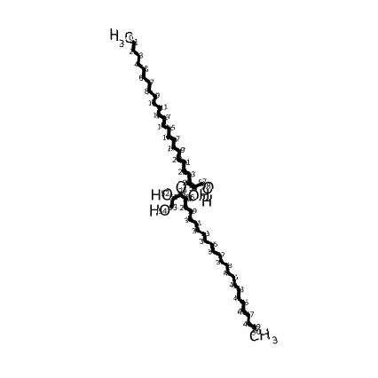 CCCCCCCCCCCCCCCCCCCCCCCCC(OC(CCCCCCCCCCCCCCCCCCCCCCCC)C(O)CO)C(O)CO